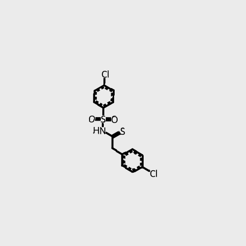 O=S(=O)(NC(=S)Cc1ccc(Cl)cc1)c1ccc(Cl)cc1